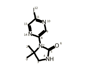 CC1(C)CNC(=O)N1c1cnc(I)cn1